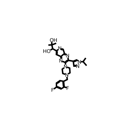 CC(C)n1cc(-c2nc3cnc(C(O)C(C)(C)O)cc3nc2N2CCN(Cc3ccc(F)cc3F)CC2)cn1